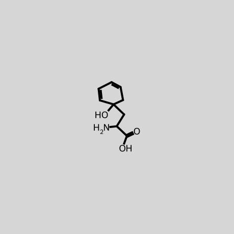 NC(CC1(O)C=CC=CC1)C(=O)O